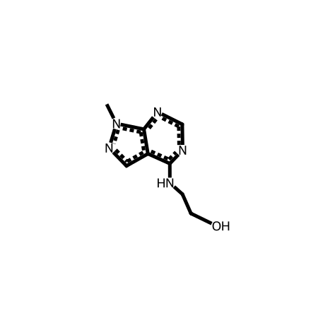 Cn1ncc2c(NCCO)ncnc21